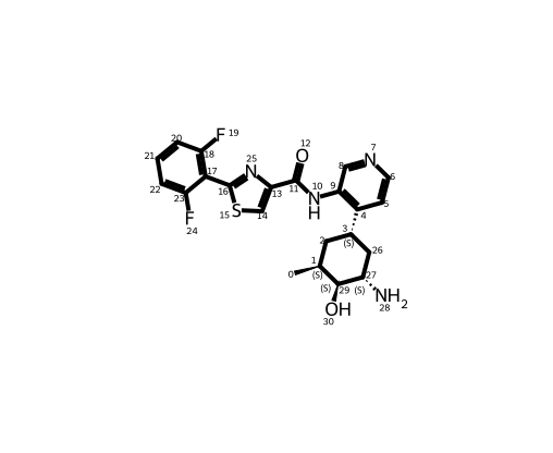 C[C@H]1C[C@H](c2ccncc2NC(=O)c2csc(-c3c(F)cccc3F)n2)C[C@H](N)[C@H]1O